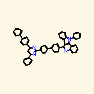 c1ccc(-c2ccc(-c3cc(-c4ccccc4)nc(-c4ccc(-c5ccc(-c6nc7ccccc7c7c6c6ccccc6n7-c6ccccc6)cc5)cc4)n3)cc2)cc1